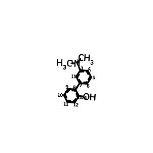 CN(C)c1[c]ccc(-c2ccccc2O)c1